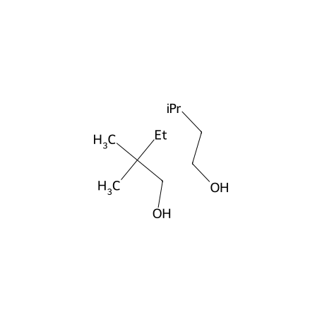 CC(C)CCO.CCC(C)(C)CO